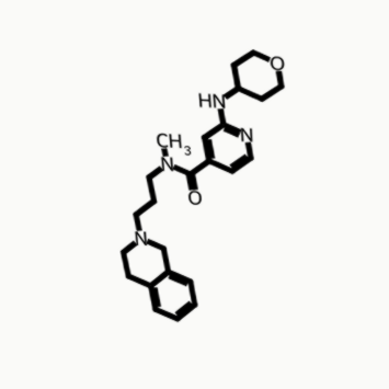 CN(CCCN1CCc2ccccc2C1)C(=O)c1ccnc(NC2CCOCC2)c1